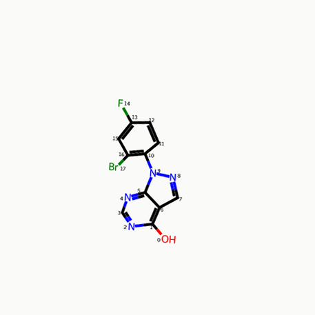 Oc1ncnc2c1cnn2-c1ccc(F)cc1Br